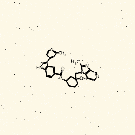 Cc1cc(-c2n[nH]c3ccc(C(=O)NC4CCCC(O)(Cn5c(C)nc6cnccc65)C4)cc23)ccn1